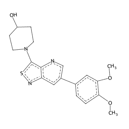 COc1ccc(-c2cnc3c(N4CCC(O)CC4)snc3c2)cc1OC